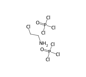 NCCCl.O=P(Cl)(Cl)Cl.O=P(Cl)(Cl)Cl